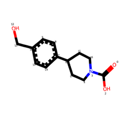 O=C(O)N1CCC(c2ccc(CO)cc2)CC1